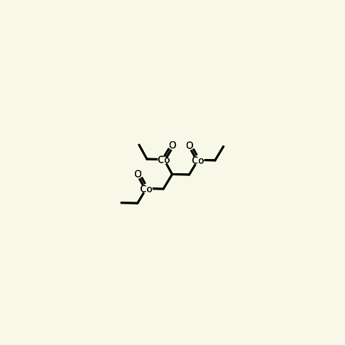 C[CH2][Co](=[O])[CH2][CH]([CH2][Co](=[O])[CH2]C)[Co](=[O])[CH2]C